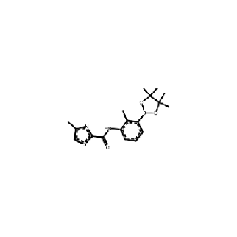 Cc1csc(C(=O)Nc2cccc(B3OC(C)(C)C(C)(C)O3)c2C)n1